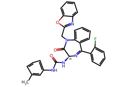 Cc1cccc(NC(=O)N[C@@H]2N=C(c3ccccc3F)c3ccccc3N(Cc3nc4ccccc4o3)C2=O)c1